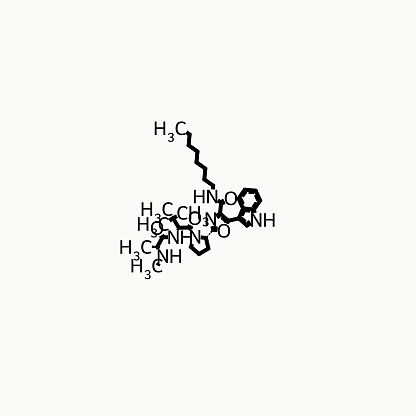 CCCCCCCCNC(=O)c1nc([C@@H]2CCCN2C(=O)[C@@H](NC(=O)[C@H](C)NC)C(C)(C)C)oc1-c1c[nH]c2ccccc12